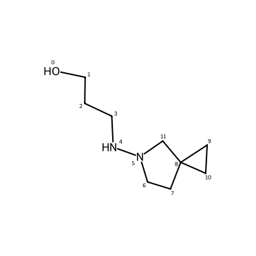 OCCCNN1CCC2(CC2)C1